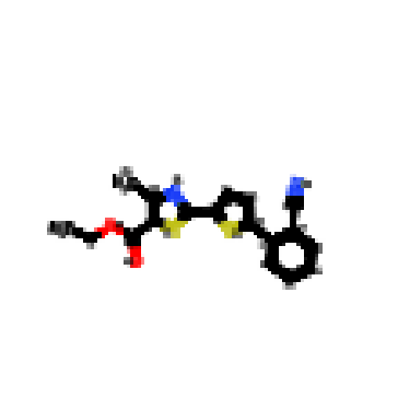 CCOC(=O)c1sc(-c2ccc(-c3ccccc3C#N)s2)nc1C